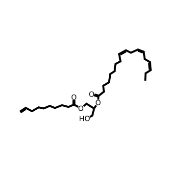 C=CCCCCCCCC(=O)OCC(CO)OC(=O)CCCCCCC/C=C\C/C=C\C/C=C\CC